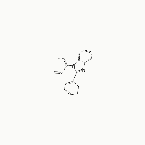 C=C/C(=C\C)n1c(C2=CC=CCC2)nc2ccccc21